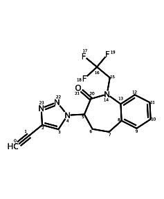 C#Cc1cn(C2CCc3ccccc3N(CC(F)(F)F)C2=O)nn1